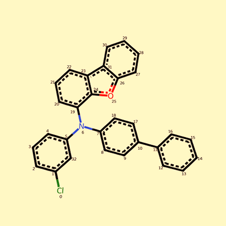 Clc1cccc(N(c2ccc(-c3ccccc3)cc2)c2cccc3c2oc2ccccc23)c1